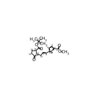 COC(=O)c1ccc(C=CCN2C(=O)CCC2C(=O)OC(C)(C)C)s1